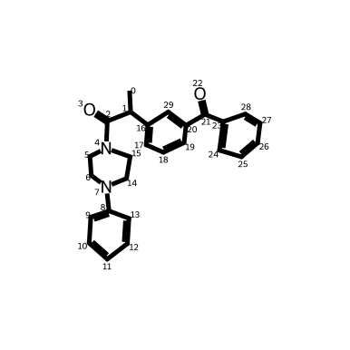 CC(C(=O)N1CCN(c2ccccc2)CC1)c1cccc(C(=O)c2ccccc2)c1